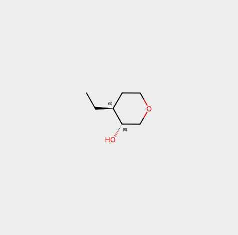 CC[C@H]1CCOC[C@@H]1O